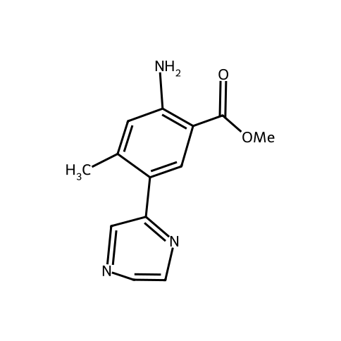 COC(=O)c1cc(-c2cnccn2)c(C)cc1N